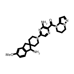 COc1ccc2c(c1)CC1(CCN(c3cnc(C(=O)N4CCCn5nccc54)c(N)n3)CC1)C2N